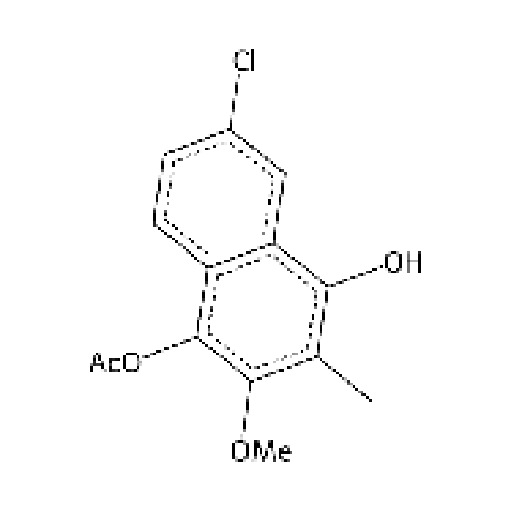 COc1c(C)c(O)c2cc(Cl)ccc2c1OC(C)=O